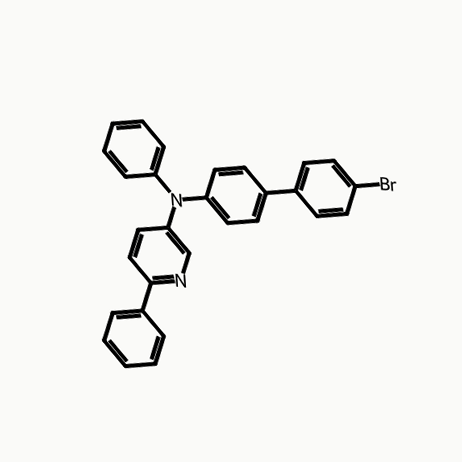 Brc1ccc(-c2ccc(N(c3ccccc3)c3ccc(-c4ccccc4)nc3)cc2)cc1